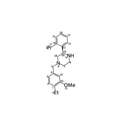 CCc1ccc(CN2CCN[C@H](c3ccccc3C(C)C)C2)cc1OC